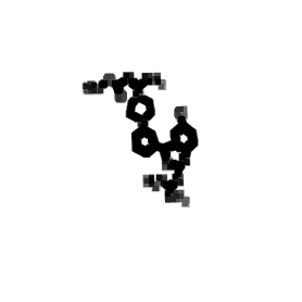 CC(C)(C)OC(=O)/N=C(/N)N1CCN(c2cccc(-c3nc(N=C(N)N)nc4ccc(Cl)cc34)c2)CC1